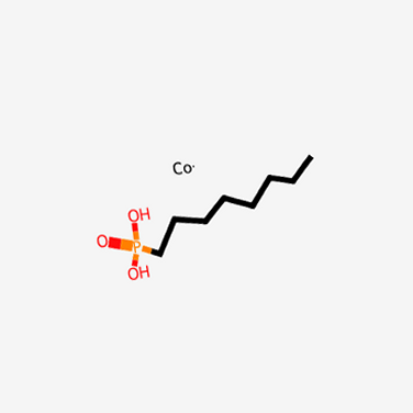 CCCCCCCCP(=O)(O)O.[Co]